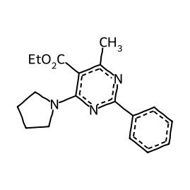 CCOC(=O)c1c(C)nc(-c2ccccc2)nc1N1CCCC1